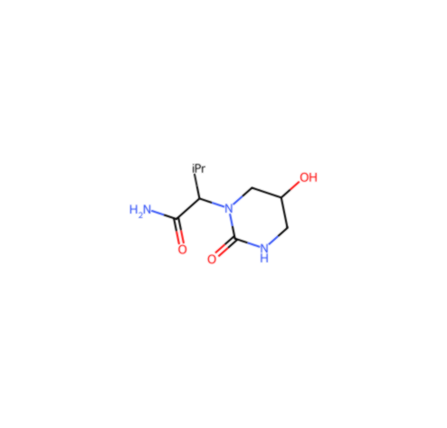 CC(C)C(C(N)=O)N1CC(O)CNC1=O